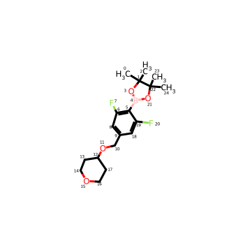 CC1(C)OB(c2c(F)cc(COC3CCOCC3)cc2F)OC1(C)C